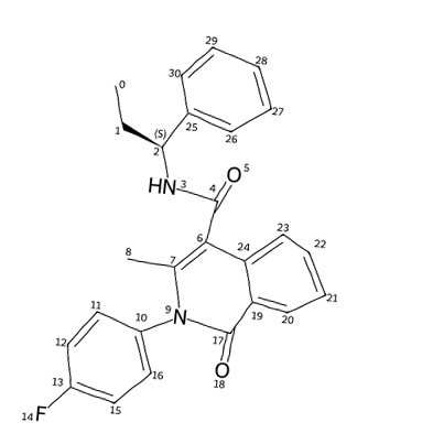 CC[C@H](NC(=O)c1c(C)n(-c2ccc(F)cc2)c(=O)c2ccccc12)c1ccccc1